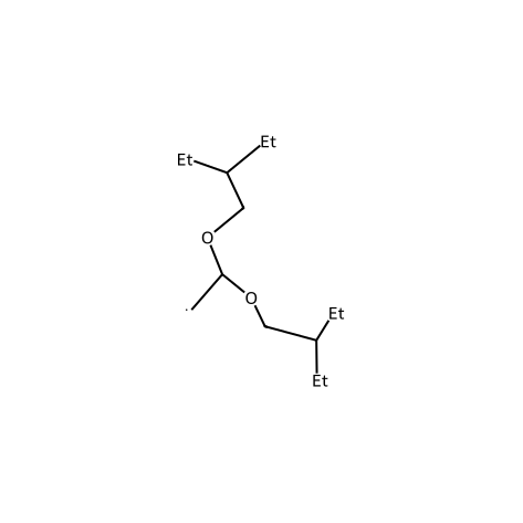 [CH2]C(OCC(CC)CC)OCC(CC)CC